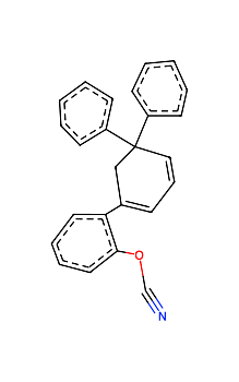 N#COc1ccccc1C1=CC=CC(c2ccccc2)(c2ccccc2)C1